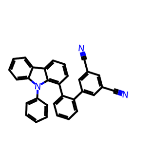 N#Cc1cc(C#N)cc(-c2ccccc2-c2cccc3c4ccccc4n(-c4ccccc4)c23)c1